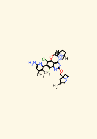 C=C1CN2CC[C@@]2(COc2nc3c4c(c(Cl)c(-c5nc(N)cc(C)c5C(F)(F)F)c(F)c4n2)OC[C@@H]2[C@@H]4CC[C@H](CN32)N4)C1